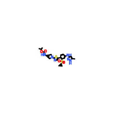 Cc1cc(Nc2ccc(-c3cnc(N4CC5C(C4)C5NC(=O)OC(C)C)s3)c(S(=O)(=O)C3CC3)c2)n[nH]1